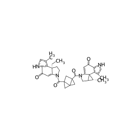 CC[C@]12CCN(C(=O)C34CC5(C(=O)N6CC7[C@@H](C)C78C6=CC(=O)c6[nH]cc(C)c68)CC53C4)C1=CC(=O)c1[nH]cc(C)c12